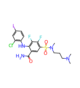 CN(C)CCCN(C)S(=O)(=O)c1cc(C(N)=O)c(Nc2ccc(I)cc2Cl)c(F)c1F